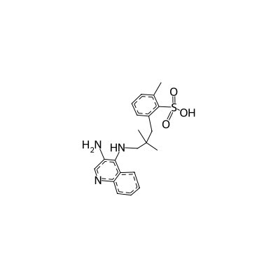 Cc1cccc(CC(C)(C)CNc2c(N)cnc3ccccc23)c1S(=O)(=O)O